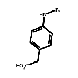 CCC(C)Nc1ccc(CC(=O)O)cc1